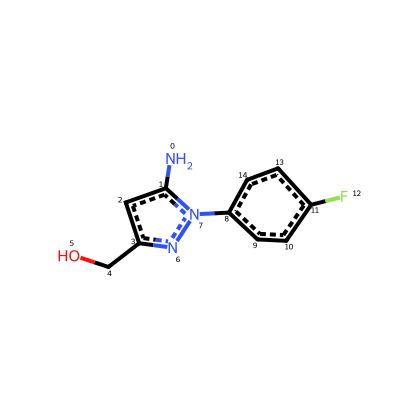 Nc1cc(CO)nn1-c1ccc(F)cc1